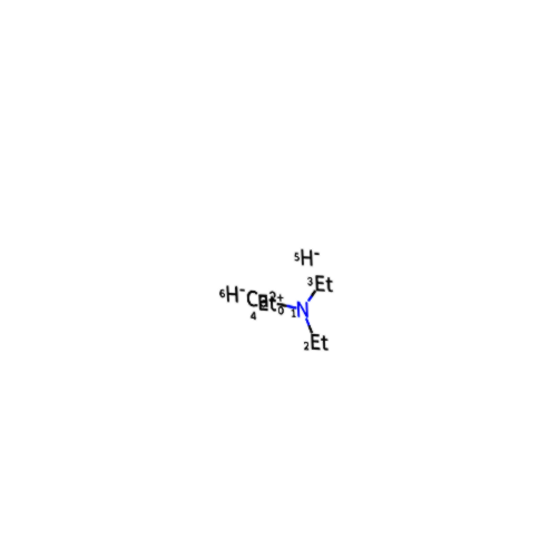 CCN(CC)CC.[Ca+2].[H-].[H-]